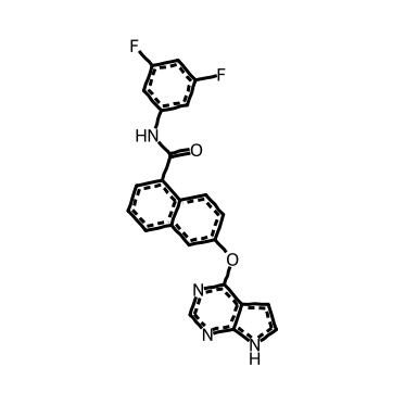 O=C(Nc1cc(F)cc(F)c1)c1cccc2cc(Oc3ncnc4[nH]ccc34)ccc12